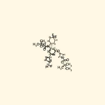 CC(C)(C)OC(=O)N1CC(Oc2cc(N(C(=O)OC(C)(C)C)C3CCC(F)(F)CC3)nc(-c3nc(C(F)F)cs3)n2)C1